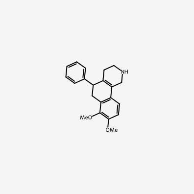 COc1ccc2c(c1OC)CC(c1ccccc1)C1=C2CNCC1